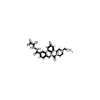 CCN1CCN(C(=O)N(Cc2ccc(C(=O)NNC(=O)C(F)F)cc2)c2ccc(F)cc2)CC1